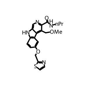 CCCNC(=O)c1ncc2[nH]c3ccc(OCc4nccs4)cc3c2c1COC